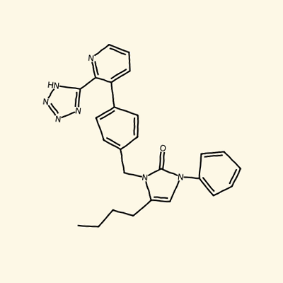 CCCCc1cn(-c2ccccc2)c(=O)n1Cc1ccc(-c2cccnc2-c2nnn[nH]2)cc1